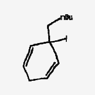 CCCCCC1(I)C=CCC=C1